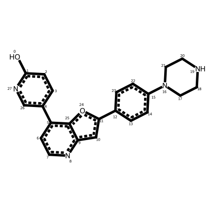 Oc1ccc(-c2ccnc3cc(-c4ccc(N5CCNCC5)cc4)oc23)cn1